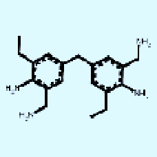 CCc1cc(Cc2cc(CC)c(N)c(CN)c2)cc(CN)c1N